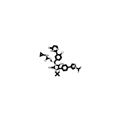 CC(C)(C)C[C@]1(c2ccc(-c3cnn(C(F)F)c3)cc2)NC(=N)N([C@H](COC(=O)NC2CC2)c2ccc(Cl)c(-c3nccc(=O)[nH]3)c2)C1O